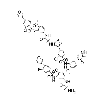 CN[C@@H](C)C(=O)Nc1ccc(OC)c(NS(=O)(=O)c2ccc(-c3ccc(C)o3)cc2Cl)c1.COc1ccc(NC(=O)C(C)(C)N)cc1NS(=O)(=O)c1ccc(-c2ccoc2)c(F)c1.COc1ccc(NC(=O)C(C)(C)N)cc1NS(=O)(=O)c1ccc(-c2ccoc2)cc1Cl